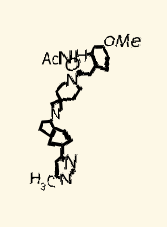 COc1ccc(CC(=O)N2CCC3(CC2)CN(C2CCc4cc(-c5cc(C)ncn5)ccc42)C3)c(NC(C)=O)c1